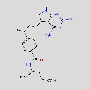 CCC(CCC1CNc2nc(N)nc(N)c21)c1ccc(C(=O)N[C@@H](CCC(=O)O)C(=O)O)cc1